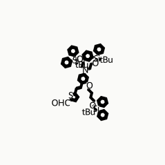 CC(C)(C)[Si](OCCCCOc1cc(N(CCO[Si](c2ccccc2)(c2ccccc2)C(C)(C)C)CCO[Si](c2ccccc2)(c2ccccc2)C(C)(C)C)ccc1C=Cc1ccc(C=O)s1)(c1ccccc1)c1ccccc1